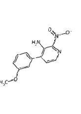 COc1cccc(-c2ccnc([N+](=O)[O-])c2N)c1